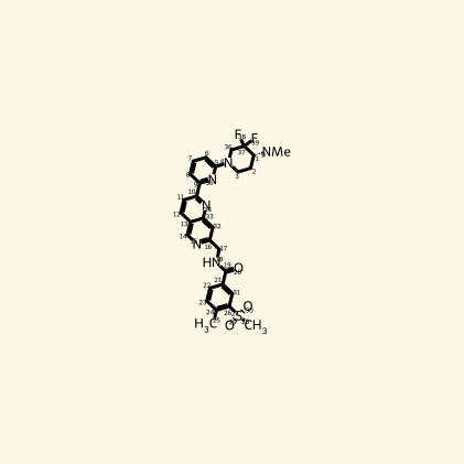 CN[C@@H]1CCN(c2cccc(-c3ccc4cnc(CNC(=O)c5ccc(C)c(S(C)(=O)=O)c5)cc4n3)n2)CC1(F)F